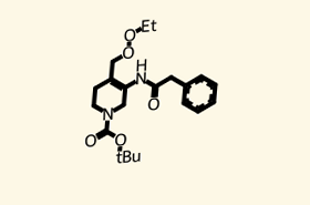 CCOOCC1=C(NC(=O)Cc2ccccc2)CN(C(=O)OC(C)(C)C)CC1